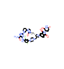 CN1CCN(C2CCCN(c3nnc(C(N)=O)c(Nc4cc(F)c(N5CCN(CC6CCN(c7ccc8c(c7)C(=O)N(C7CCC(=O)NC7=O)C8=O)C6)CC5)cc4F)n3)C2)C1=O